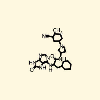 CC1CCC(N2CCC(NC(=O)C(CC3CCCCC3)Nc3ncnc4[nH]c(=O)[nH]c34)C2)CC1C#N